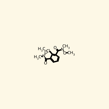 CON(C)C(=O)c1cccc(C(=O)N(C)OC)c1Cl